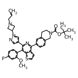 C=CCN1CC(n2cc(-c3nc(-c4ccc5c(c4)CCN(C(=O)OC(C)(C)C)C5)c4ccsc4c3-c3ccc(F)cc3OC)cn2)C1